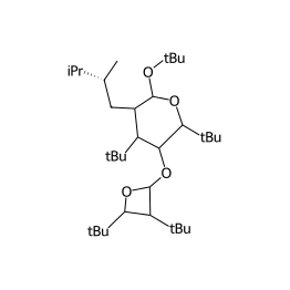 CC(C)[C@H](C)CC1C(OC(C)(C)C)OC(C(C)(C)C)C(OC2OC(C(C)(C)C)C2C(C)(C)C)C1C(C)(C)C